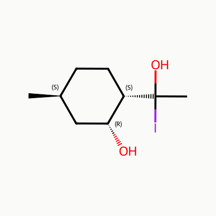 C[C@H]1CC[C@H](C(C)(O)I)[C@H](O)C1